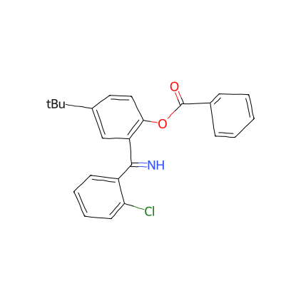 CC(C)(C)c1ccc(OC(=O)c2ccccc2)c(C(=N)c2ccccc2Cl)c1